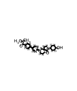 CN(C)C(=O)c1ccc(-c2cnc(N3CCC[C@@]4(CCN([C@H]5CC[C@@H](O)CC5)C4=O)C3)nc2)cn1